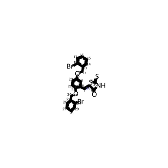 O=C1NC(=S)S/C1=C\c1cc(OCc2ccccc2Br)ccc1OCc1ccccc1Br